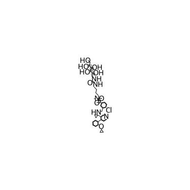 CN(CCCCNC(=O)NC[C@H](O)[C@@H](O)[C@H](O)[C@H](O)CO)S(=O)(=O)c1ccc(Cl)c(CNC2(c3cnccc3-c3ccccc3OC3CC3)CC2)c1